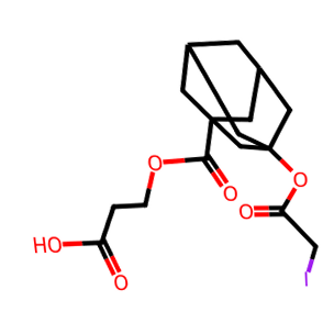 O=C(O)CCOC(=O)C12CC3CC(CC(OC(=O)CI)(C3)C1)C2